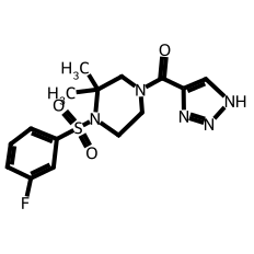 CC1(C)CN(C(=O)c2c[nH]nn2)CCN1S(=O)(=O)c1cccc(F)c1